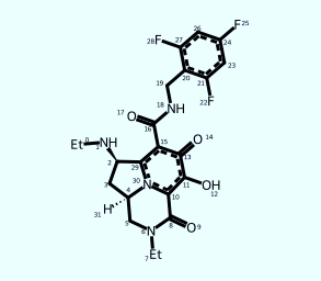 CCN[C@@H]1C[C@@H]2CN(CC)C(=O)c3c(O)c(=O)c(C(=O)NCc4c(F)cc(F)cc4F)c1n32